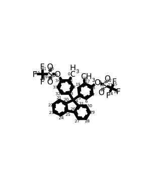 Cc1cc(C2(c3ccc(OS(=O)(=O)C(F)(F)F)c(C)c3)c3ccccc3-c3ccccc32)ccc1OS(=O)(=O)C(F)(F)F